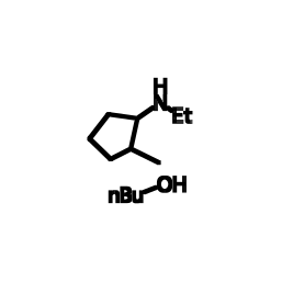 CCCCO.CCNC1CCCC1C